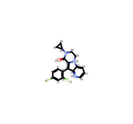 O=C1c2c(-c3ccc(F)cc3F)c3ncccc3n2CCN1C1CC1